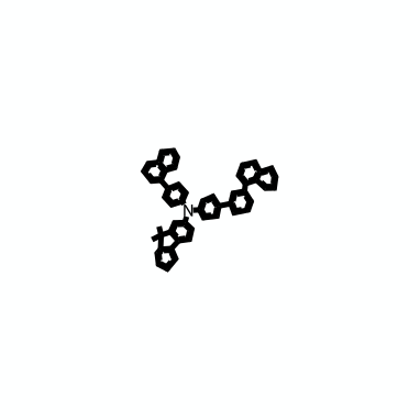 CC1(C)c2ccccc2-c2ccc(N(c3ccc(-c4cccc(-c5cccc6ccccc56)c4)cc3)c3ccc(-c4cccc5ccccc45)cc3)cc21